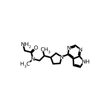 CC(CN(C)C(=O)CN)C1CCN(c2ncnc3[nH]ccc23)C1